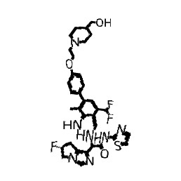 CC1=C(c2ccc(OCCN3CCC(CO)CC3)cc2)C=C(C(F)F)/C(=C/NC(C(=O)Nc2nccs2)c2ncn3c2C[C@@H](F)C3)C1=N